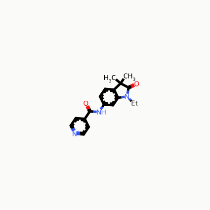 CCN1C(=O)C(C)(C)c2ccc(NC(=O)c3ccncc3)cc21